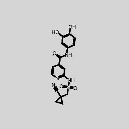 N#CC1(CS(=O)(=O)Nc2cc(C(=O)Nc3ccc(O)c(O)c3)ccn2)CC1